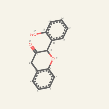 O=C1Cc2ccccc2OC1c1ccccc1O